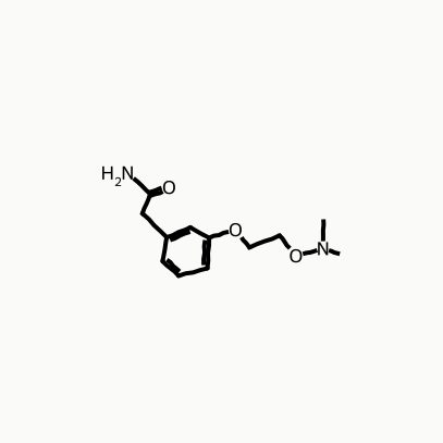 CN(C)OCCOc1cccc(CC(N)=O)c1